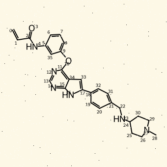 C=CC(=O)Nc1cccc(Oc2ncnc3[nH]c(-c4ccc(CNC5CCN(C)CC5)cc4)cc23)c1